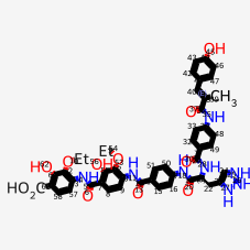 CCOc1c(NC(=O)c2ccc(NC(=O)c3ccc(NC(=O)[C@H](CC4=CNNN4)NC(=O)c4ccc(NC(=O)/C(C)=C/c5ccc(O)cc5)cc4)cc3)c(OCC)c2O)ccc(C(=O)O)c1O